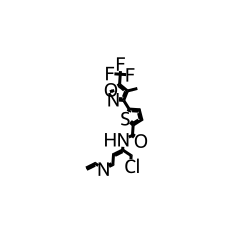 C=C/N=C\C=C(/CCl)NC(=O)c1ccc(-c2noc(C(F)(F)F)c2C)s1